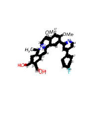 COc1c(-c2cc(-c3ccc(F)cc3)ccn2)cc2c(cc[n+]3c(C)c4cc(CO)c(CO)cc4cc23)c1OC